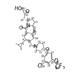 O=C(c1cc(C2CC2)c(CN2CCC(Oc3cc(Cl)cc(OC(F)(F)F)c3)CC2)cc1F)N1CCC[C@H]1CC1OC1O